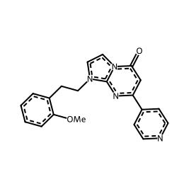 COc1ccccc1CCn1ccn2c(=O)cc(-c3ccncc3)nc12